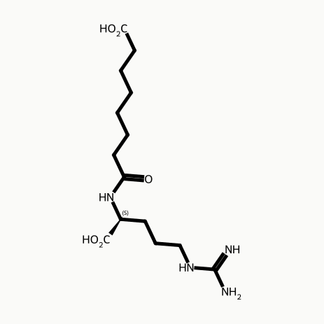 N=C(N)NCCC[C@H](NC(=O)CCCCCCC(=O)O)C(=O)O